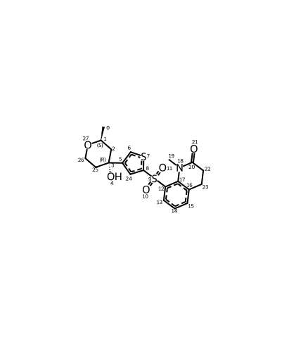 C[C@H]1C[C@@](O)(c2csc(S(=O)(=O)c3cccc4c3N(C)C(=O)CC4)c2)CCO1